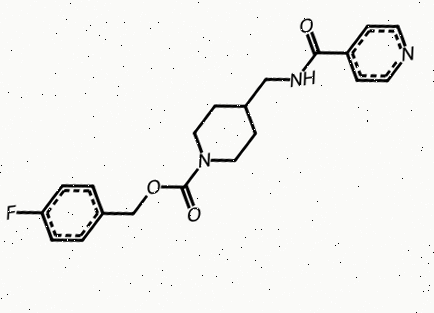 O=C(NCC1CCN(C(=O)OCc2ccc(F)cc2)CC1)c1ccncc1